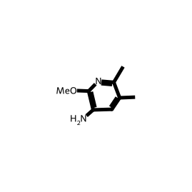 COc1nc(C)c(C)cc1N